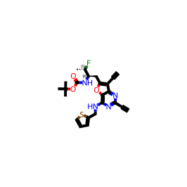 C#Cc1nc(NCc2cccs2)c2oc(C[C@@H](NC(=O)OC(C)(C)C)[C@H](C)F)c(C#C)c2n1